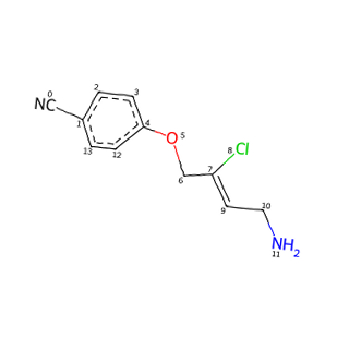 N#Cc1ccc(OC/C(Cl)=C/CN)cc1